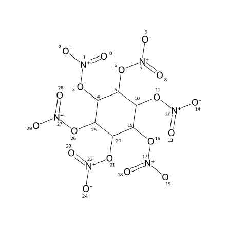 O=[N+]([O-])OC1C(O[N+](=O)[O-])C(O[N+](=O)[O-])C(O[N+](=O)[O-])C(O[N+](=O)[O-])C1O[N+](=O)[O-]